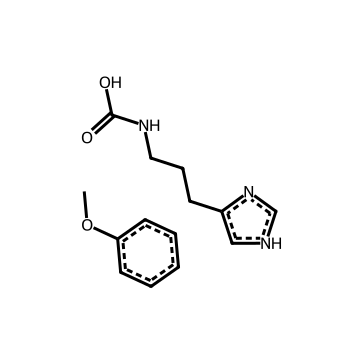 COc1ccccc1.O=C(O)NCCCc1c[nH]cn1